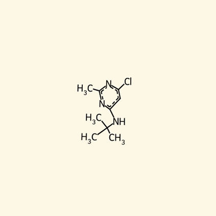 Cc1nc(Cl)cc(NC(C)(C)C)n1